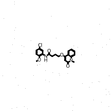 COc1ccc(Cl)cc1NC(=O)CCCOc1cc(=O)n(C)c2ccccc12